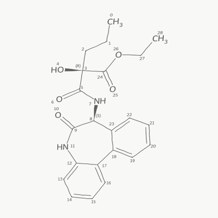 CCC[C@@](O)(C(=O)N[C@@H]1C(=O)Nc2ccccc2-c2ccccc21)C(=O)OCC